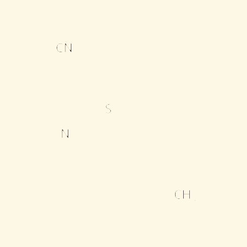 Cc1ccc2nc(CC#N)sc2c1